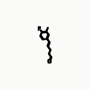 Cc1cc(/C=C/CCC=O)ccc1F